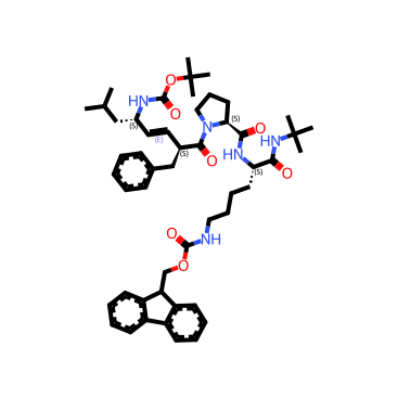 CC(C)C[C@@H](/C=C/[C@H](Cc1ccccc1)C(=O)N1CCC[C@H]1C(=O)N[C@@H](CCCCNC(=O)OCC1c2ccccc2-c2ccccc21)C(=O)NC(C)(C)C)NC(=O)OC(C)(C)C